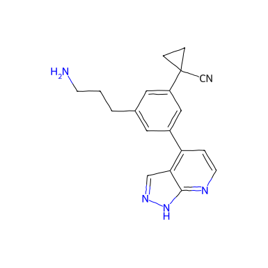 N#CC1(c2cc(CCCN)cc(-c3ccnc4[nH]ncc34)c2)CC1